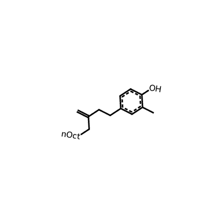 C=C(CCCCCCCCC)CCc1ccc(O)c(C)c1